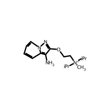 CC(C)[N+](C)(CCOc1nn2ccccc2c1N)C(C)C